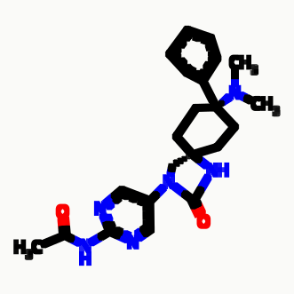 CC(=O)Nc1ncc(N2C[C@]3(CC[C@](c4ccccc4)(N(C)C)CC3)NC2=O)cn1